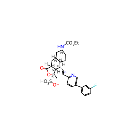 CCOC(=O)N[C@@H]1CC[C@@H]2[C@@H](C1)C[C@H]1C(=O)O[C@H](C)[C@H]1[C@H]2/C=C/c1ccc(-c2cccc(F)c2)cn1.O=S(=O)(O)O